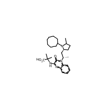 CC1CC[C@@H](C[C@H](C)n2c(=O)c(NC(C)(C)C(=O)O)nc3ccccc32)N1C1CCCCCCC1